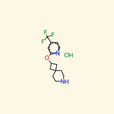 Cl.FC(F)(F)c1ccnc(OC2CC3(CCNCC3)C2)c1